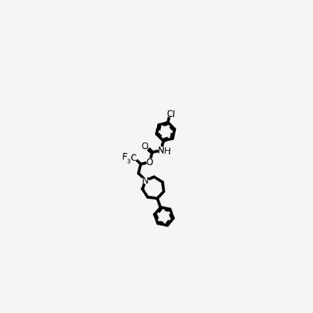 O=C(Nc1ccc(Cl)cc1)OC(CN1CCCC(c2ccccc2)CC1)C(F)(F)F